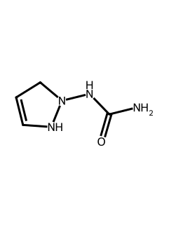 NC(=O)NN1CC=CN1